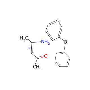 CC(=O)/C=C(/C)N.[B](c1ccccc1)c1ccccc1